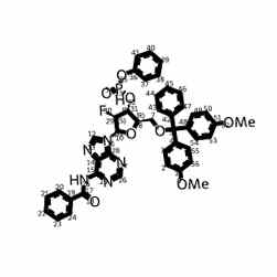 COc1ccc(C(OC[C@H]2O[C@@H](n3cnc4c(NC(=O)c5ccccc5)ncnc43)[C@@H](F)[C@@H]2O[PH](=O)Oc2ccccc2)(c2ccccc2)c2ccc(OC)cc2)cc1